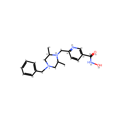 CC1CN(Cc2ccccc2)CC(C)N1Cc1ccc(C(=O)NO)cn1